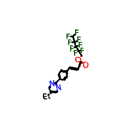 CCc1cnc(-c2ccc(C=CC(=O)OCC(F)(F)C(F)(F)C(F)(F)C(F)F)cc2)nc1